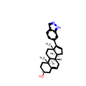 C[C@]12CC[C@H](O)CC1=CC[C@@H]1[C@@H]2CC[C@]2(C)C(c3ccc4cn[nH]c4c3)=CC[C@@H]12